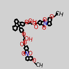 C#CCOc1ccc2c(N3C(=O)c4ccc(C(=O)OCC(O)COc5ccc(C6(c7ccc(OCC(O)COC(=O)c8ccc9c(c8)C(=O)N(c8cccc%10cc(OCC#C)ccc8%10)C9=O)cc7)c7ccccc7-c7ccccc76)cc5)cc4C3=O)cccc2c1